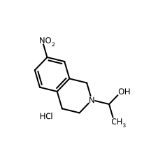 CC(O)N1CCc2ccc([N+](=O)[O-])cc2C1.Cl